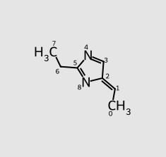 CC=C1C=NC(CC)=N1